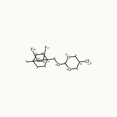 CC12CCC(COC3OCC(C(F)(F)F)CO3)(CC1)C(F)=C2F